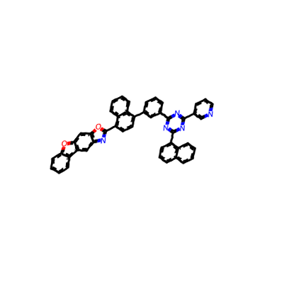 c1cncc(-c2nc(-c3cccc(-c4ccc(-c5nc6cc7c(cc6o5)oc5ccccc57)c5ccccc45)c3)nc(-c3cccc4ccccc34)n2)c1